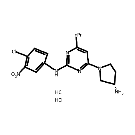 CCCc1cc(N2CC[C@H](N)C2)nc(Nc2ccc(Cl)c([N+](=O)[O-])c2)n1.Cl.Cl